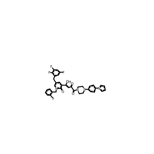 O=C(C=C(O)c1cc(Cc2cc(F)cc(F)c2F)cn(Cc2ccccc2F)c1=O)C(=O)N1CCN(c2ccc(-n3cccc3)cc2)CC1